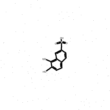 O=S(=O)(O)c1ccc2ccc(O)c(O)c2c1